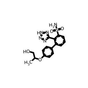 CC(CO)Oc1ccc(-c2cccc(S(N)(=O)=O)c2-c2nn[nH]n2)cc1